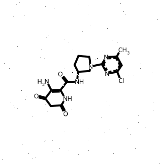 Cc1cc(Cl)nc(N2CCCC(NC(=O)C3=C(N)C(=O)CC(=O)N3)C2)n1